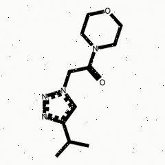 CC(C)c1cn(CC(=O)N2CCOCC2)nn1